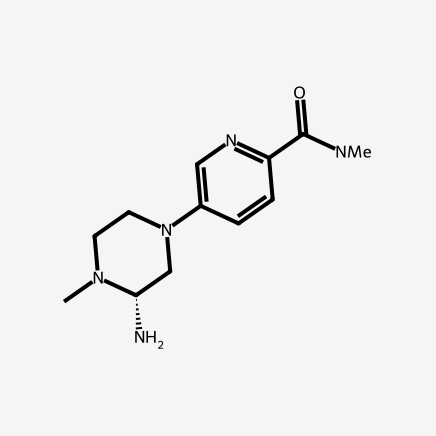 CNC(=O)c1ccc(N2CCN(C)[C@@H](N)C2)cn1